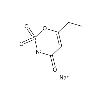 CCC1=CC(=O)[N-]S(=O)(=O)O1.[Na+]